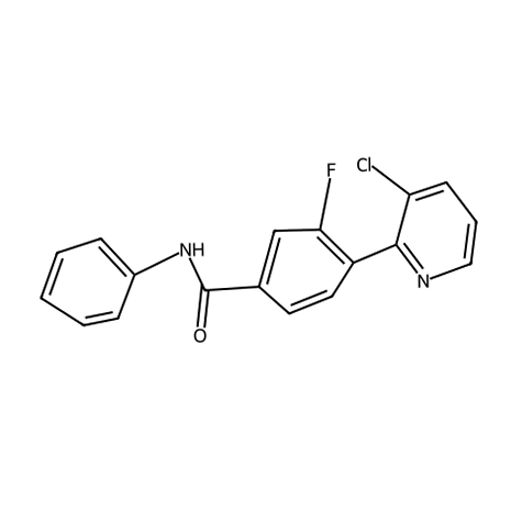 O=C(Nc1ccccc1)c1ccc(-c2ncccc2Cl)c(F)c1